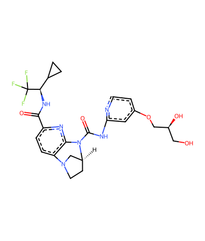 O=C(N[C@H](C1CC1)C(F)(F)F)c1ccc2c(n1)N(C(=O)Nc1cc(OC[C@@H](O)CO)ccn1)[C@H]1CCN2C1